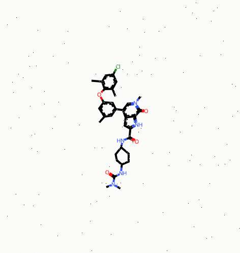 Cc1cc(Oc2c(C)cc(Cl)cc2C)cc(-c2cn(C)c(=O)c3[nH]c(C(=O)NC4CCC(NC(=O)N(C)C)CC4)cc23)c1